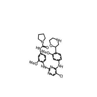 COc1cc(NC(=O)N2CCCC2)ccc1Nc1ncc(Cl)c(Nc2ccc(C3CNCCO3)c(OC)c2)n1